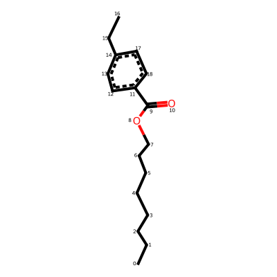 CCCCCCCCOC(=O)c1ccc(CC)cc1